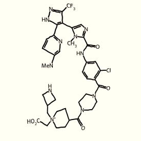 CNc1ccc(-c2[nH]nc(C(F)(F)F)c2-c2cnc(C(=O)Nc3ccc(C(=O)N4CCN(C(=O)C5CC[N+](CC(=O)O)(CC6CNC6)CC5)CC4)c(Cl)c3)n2C)nc1